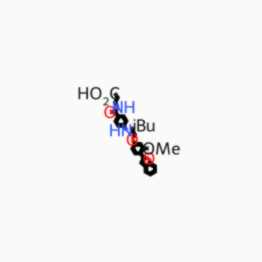 CCC(C)C(COc1ccc(-c2cc3ccccc3o2)c(OC)c1)Nc1ccc(C(=O)NCCC(=O)O)cc1